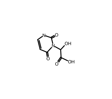 O=C(O)C(O)N1C(=O)C=C[N]C1=O